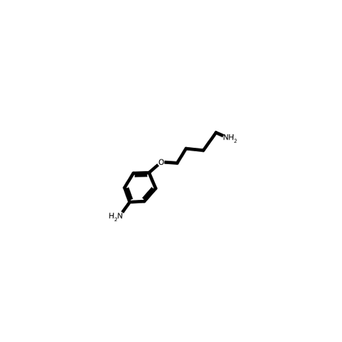 NCCCCOc1ccc(N)cc1